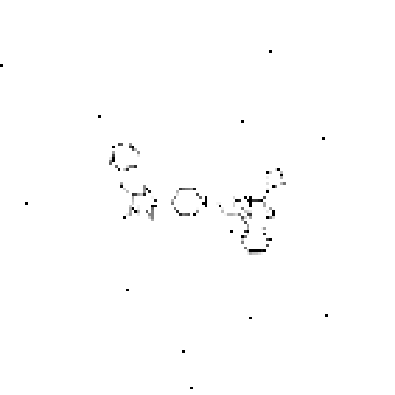 Cn1nc(C2CCN(CC[C@H](NC(=O)C3CCC3)c3ccccc3)CC2)nc1Cc1ccccc1